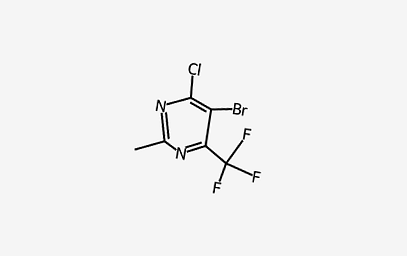 Cc1nc(Cl)c(Br)c(C(F)(F)F)n1